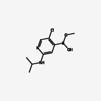 COB(O)c1cc(NC(C)C)ncc1Cl